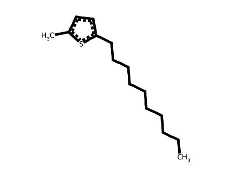 CCCCCCCCCCc1ccc(C)s1